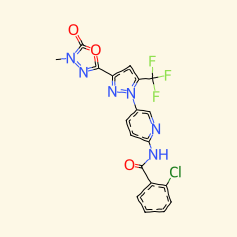 Cn1nc(-c2cc(C(F)(F)F)n(-c3ccc(NC(=O)c4ccccc4Cl)nc3)n2)oc1=O